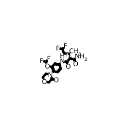 CN(CC(F)F)[C@@H](C(N)=O)C(=O)Nc1ccc(N2CCOCC2=O)c(OC(F)F)c1